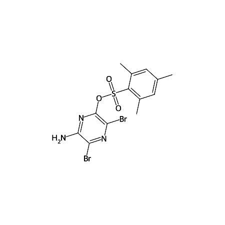 Cc1cc(C)c(S(=O)(=O)Oc2nc(N)c(Br)nc2Br)c(C)c1